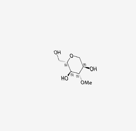 CO[C@@H]1[C@@H](O)[C@H](CO)OC[C@H]1O